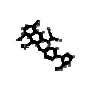 Cc1c(Cc2ccc(-n3ccnc3C(C)C)cc2)c(OC(F)F)nc2c(Cl)ccc([O])c12